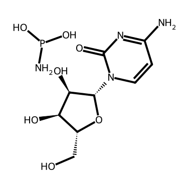 NP(O)O.Nc1ccn([C@@H]2O[C@H](CO)[C@@H](O)[C@H]2O)c(=O)n1